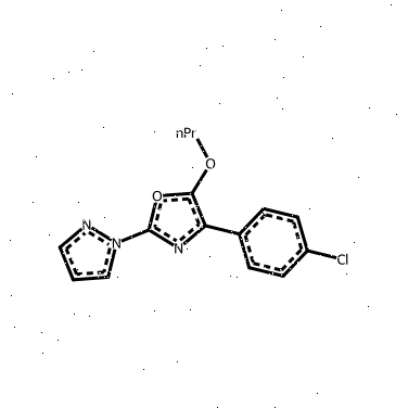 CCCOc1oc(-n2cccn2)nc1-c1ccc(Cl)cc1